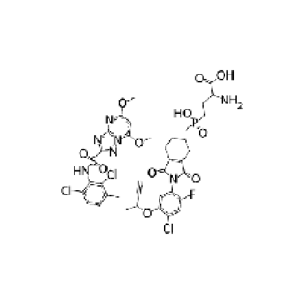 C#CC(C)Oc1cc(N2C(=O)C3=C(CCCC3)C2=O)c(F)cc1Cl.COc1cc(OC)n2nc(S(=O)(=O)Nc3c(Cl)ccc(C)c3Cl)nc2n1.CP(=O)(O)CCC(N)C(=O)O